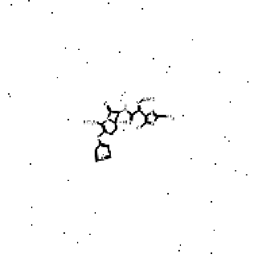 CON=C(C(=O)N[C@@H]1C(=O)N2C(C(=O)O)=C(Sc3ccncc3)CC[C@H]12)c1nc(N)sc1Cl